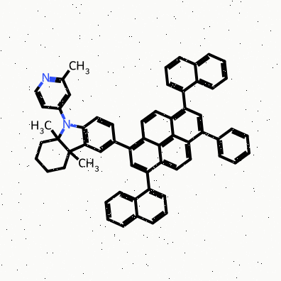 Cc1cc(N2c3ccc(-c4cc(-c5cccc6ccccc56)c5ccc6c(-c7ccccc7)cc(-c7cccc8ccccc78)c7ccc4c5c67)cc3C3(C)CCCCC23C)ccn1